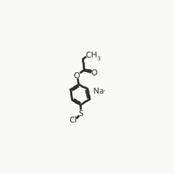 CCC(=O)Oc1ccc(SCl)cc1.[Na]